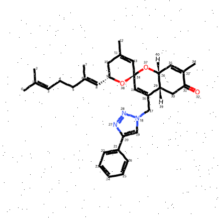 CC(C)=CCC/C(C)=C/[C@@H]1CC(C)=C[C@]2(C=C(Cn3cc(-c4ccccc4)nn3)[C@H]3CC(=O)C(C)=C[C@H]3O2)O1